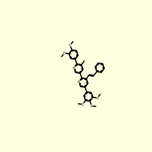 COc1ccc(-c2ncc(-c3ncc(-c4cc(OC)c(OC)c(OC)c4)cc3/C=C/c3ccccc3)cc2C)cc1OC